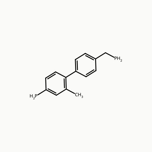 Cc1cc(P)ccc1-c1ccc(CP)cc1